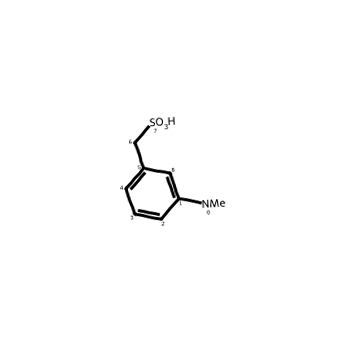 CNc1cccc(CS(=O)(=O)O)c1